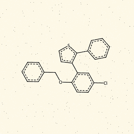 Clc1ccc(OCc2ccccc2)c(-c2ccsc2-c2cc[c]cc2)c1